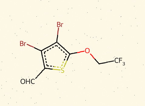 O=Cc1sc(OCC(F)(F)F)c(Br)c1Br